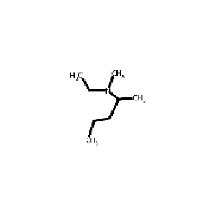 CCCC(C)N(C)CC